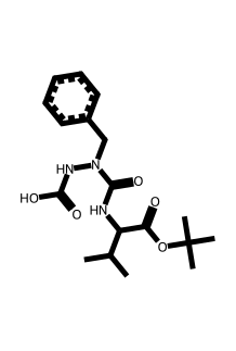 CC(C)C(NC(=O)N(Cc1ccccc1)NC(=O)O)C(=O)OC(C)(C)C